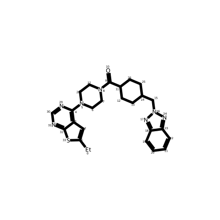 CCc1cc2c(N3CCN(C(=O)C4CCC(Cn5nc6ccccc6n5)CC4)CC3)ncnc2s1